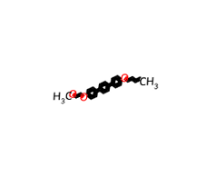 CCCCCOc1ccc(-c2ccc(-c3ccc(OCCOC)cc3)cc2)cc1